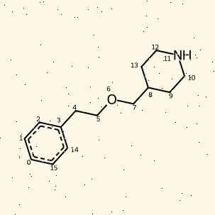 c1ccc(CCOCC2CCNCC2)cc1